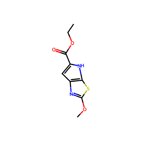 CCOC(=O)c1cc2nc(OC)sc2[nH]1